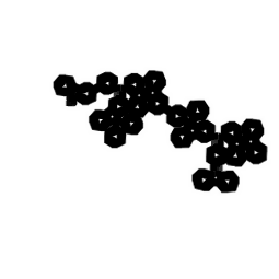 c1ccc(C2(c3ccc(-c4ccc5c(c4)-c4ccccc4C54c5ccccc5-c5c(N(c6cccc(-c7ccc8sc9ccccc9c8c7)c6)c6ccc7c(c6)-c6ccccc6C7(c6ccccc6)c6ccccc6)cccc54)cc3)c3ccccc3-c3cc(N(c4ccc(-n5c6ccccc6c6ccccc65)cc4)c4cccc5c4-c4ccccc4C54c5ccccc5-c5ccccc54)ccc32)cc1